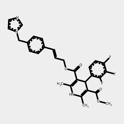 COC(=O)C1=C(C)NC(C)=C(C(=O)OC/C=C/c2ccc(Cn3ccnc3)cc2)C1c1ccc(F)c(F)c1F